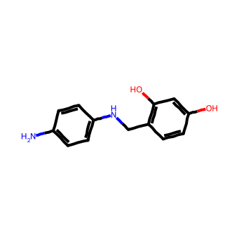 Nc1ccc(NCc2ccc(O)cc2O)cc1